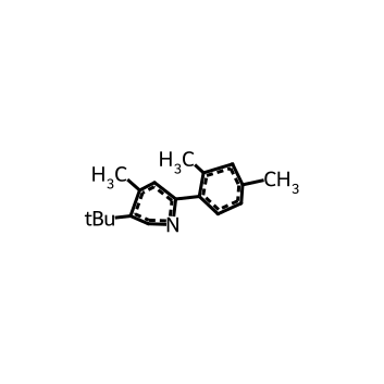 Cc1ccc(-c2cc(C)c(C(C)(C)C)cn2)c(C)c1